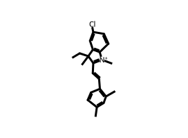 CCC1(C)C(/C=C/c2ccc(C)cc2C)=[N+](C)c2ccc(Cl)cc21